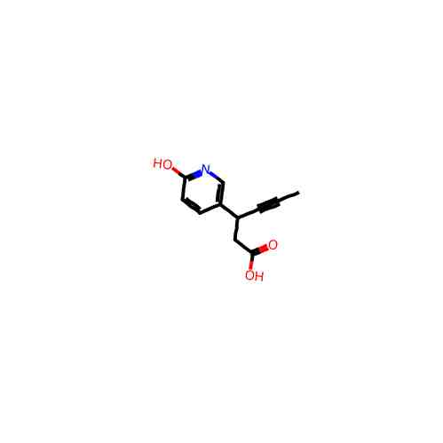 CC#CC(CC(=O)O)c1ccc(O)nc1